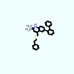 CC1(C)C=C(CSCCc2ccccc2)c2cc(-c3ccccc3-c3ccccc3)ccc2N1